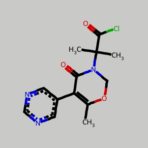 CC1=C(c2cncnc2)C(=O)N(C(C)(C)C(=O)Cl)CO1